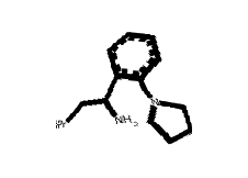 CC(C)CC(N)c1ccccc1N1CCCC1